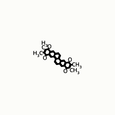 Cc1c(C)c(=O)c2cc3c(ccc4c5cc6c(=O)c(C)c(C)c(=O)c6cc5ccc34)cc2c1=O